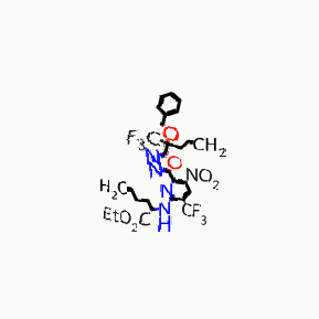 C=CCCC(Nc1nc(-c2nnc(C(CC=C)(OCc3ccccc3)C(F)(F)F)o2)c([N+](=O)[O-])cc1C(F)(F)F)C(=O)OCC